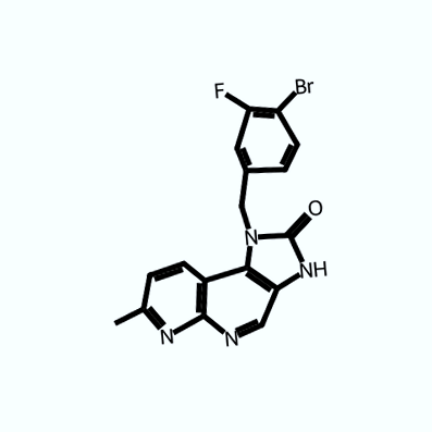 Cc1ccc2c(ncc3[nH]c(=O)n(Cc4ccc(Br)c(F)c4)c32)n1